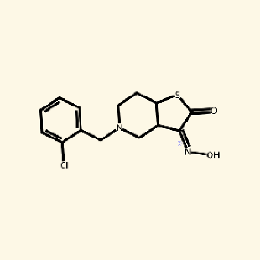 O=C1SC2CCN(Cc3ccccc3Cl)CC2/C1=N/O